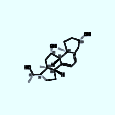 C[C@H](O)[C@H]1CC[C@H]2C3=CC=C4C[C@@H](O)CC[C@]4(C)[C@H]3[C@@H](O)C[C@]12C